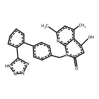 Cc1cc(C)c2c(O)cc(=O)n(Cc3ccc(-c4ccccc4-c4nnn[nH]4)cc3)c2n1